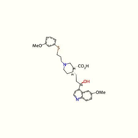 COc1cccc(SCCCN2CC[C@@H](CC[C@@H](O)c3ccnc4ccc(OC)cc34)[C@@H](C(=O)O)C2)c1